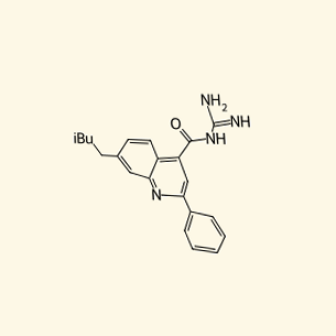 CCC(C)Cc1ccc2c(C(=O)NC(=N)N)cc(-c3ccccc3)nc2c1